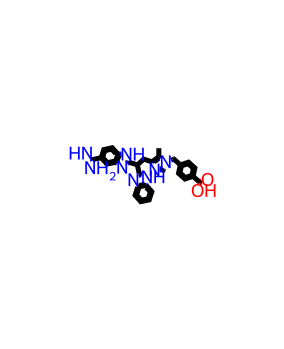 Cc1c(CC(c2nc3ccccc3[nH]2)c2nc3cc(C(=N)N)ccc3[nH]2)ncn1Cc1ccc(C(=O)O)cc1